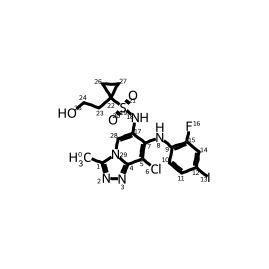 Cc1nnc2c(Cl)c(Nc3ccc(I)cc3F)c(NS(=O)(=O)C3(CCO)CC3)cn12